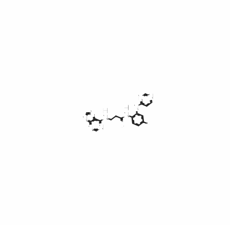 Fc1ccc(NC(=S)CCNc2ncnc3[nH]cnc23)c(Nc2ccncn2)c1